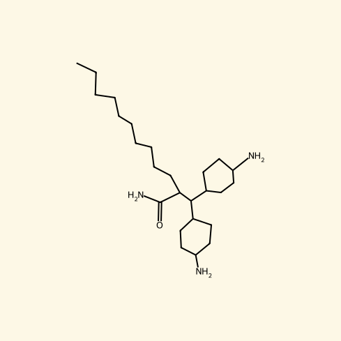 CCCCCCCCCCC(C(N)=O)C(C1CCC(N)CC1)C1CCC(N)CC1